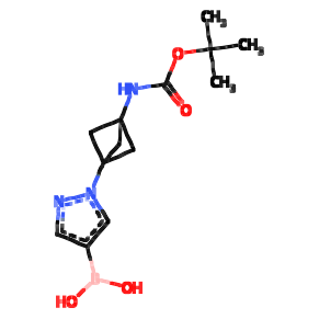 CC(C)(C)OC(=O)NC12CC(n3cc(B(O)O)cn3)(C1)C2